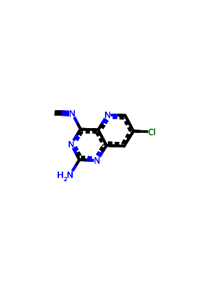 C=Nc1nc(N)nc2cc(Cl)cnc12